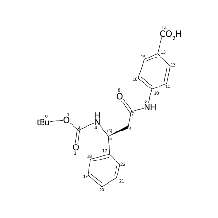 CC(C)(C)OC(=O)N[C@@H](CC(=O)Nc1ccc(C(=O)O)cc1)c1ccccc1